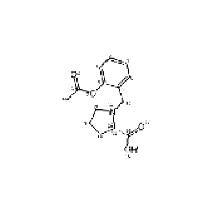 CC(=O)Oc1ccccc1CN1CCC[C@H]1C(=O)O